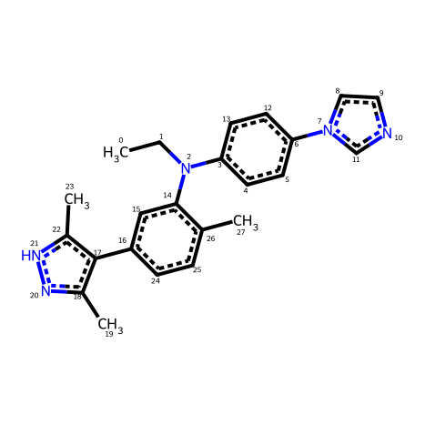 CCN(c1ccc(-n2ccnc2)cc1)c1cc(-c2c(C)n[nH]c2C)ccc1C